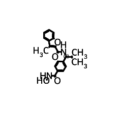 Cc1c(C(=O)N[C@@H](c2ccc(C(=O)NO)cc2)C(C)C)oc2ccccc12